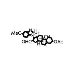 COc1ccc2c(c1)ncn2C1=C(C=O)C[C@H]2[C@@H]3CC=C4C[C@@H](OC(C)=O)CC[C@]4(C)[C@H]3CC[C@]12C